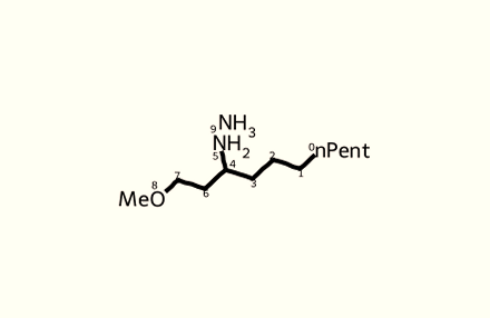 CCCCCCCCC(N)CCOC.N